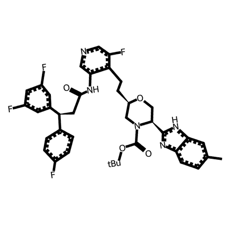 Cc1ccc2nc([C@@H]3CO[C@H](CCc4c(F)cncc4NC(=O)C[C@@H](c4ccc(F)cc4)c4cc(F)cc(F)c4)CN3C(=O)OC(C)(C)C)[nH]c2c1